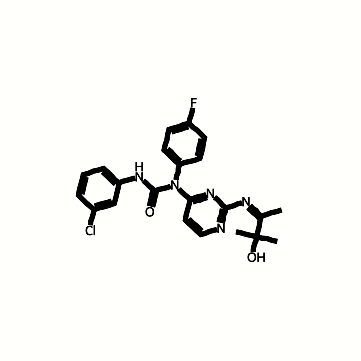 CC(=Nc1nccc(N(C(=O)Nc2cccc(Cl)c2)c2ccc(F)cc2)n1)C(C)(C)O